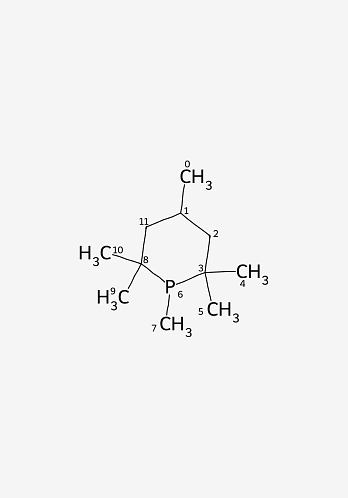 CC1CC(C)(C)P(C)C(C)(C)C1